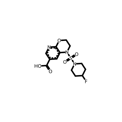 O=C(O)c1cnc2c(c1)N(S(=O)(=O)N1CCC(F)CC1)CCO2